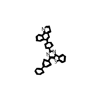 c1ccc(-c2ccc(-c3nc(-c4ccc(-c5cc6cccnc6c6ccccc56)cc4)nc4c3sc3ccccc34)cc2)cc1